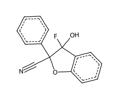 N#CC1(c2ccccc2)Oc2ccccc2C1(O)F